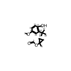 CC1(OC=O)CC1.COc1ccc(O)c(C(C)(C)C)c1